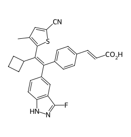 Cc1cc(C#N)sc1/C(=C(\c1ccc(/C=C/C(=O)O)cc1)c1ccc2[nH]nc(F)c2c1)C1CCC1